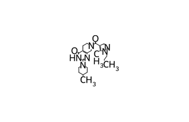 CCCn1ncc(C(=O)N2CCc3c(nc(N4CCC(C)CC4)[nH]c3=O)C2)c1C